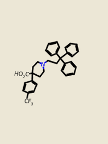 O=C(O)C1(c2ccc(C(F)(F)F)cc2)CCN(CCC(c2ccccc2)(c2ccccc2)c2ccccc2)CC1